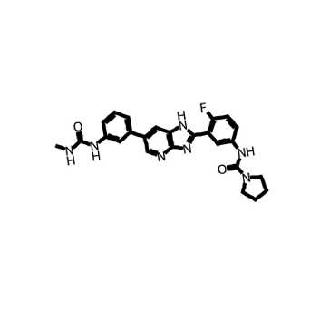 CNC(=O)Nc1cccc(-c2cnc3nc(-c4cc(NC(=O)N5CCCC5)ccc4F)[nH]c3c2)c1